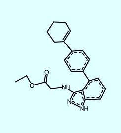 CCOC(=O)CNc1n[nH]c2cccc(-c3ccc(C4=CCCCC4)cc3)c12